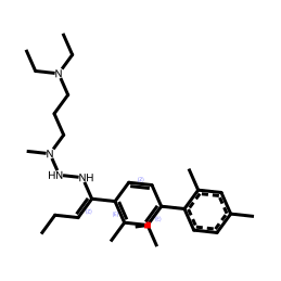 C\C=C(/C=C\C(C(=C\CC)\NNN(C)CCCN(CC)CC)=C(\C)CC)c1ccc(C)cc1C